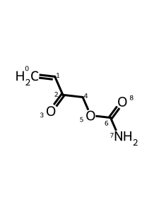 C=CC(=O)COC(N)=O